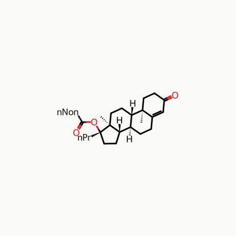 CCCCCCCCCC(=O)O[C@@]1(CCC)CC[C@H]2[C@@H]3CCC4=CC(=O)CC[C@]4(C)[C@H]3CC[C@@]21C